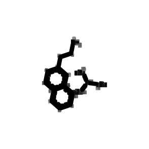 BCCc1ccc2ccccc2c1.CCCCP(CCCC)CCCC